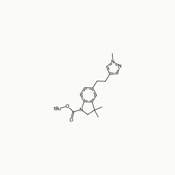 Cn1cc(CCc2ccc3c(c2)C(C)(C)CN3C(=O)OC(C)(C)C)cn1